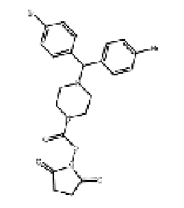 O=C(ON1C(=O)CCC1=O)N1CCN(C(c2ccc(Br)cc2)c2ccc(Br)cc2)CC1